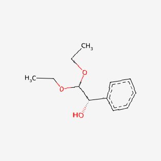 CCOC(OCC)[C@@H](O)c1ccccc1